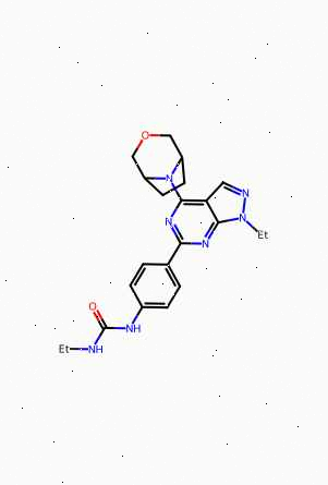 CCNC(=O)Nc1ccc(-c2nc(N3C4CCC3COC4)c3cnn(CC)c3n2)cc1